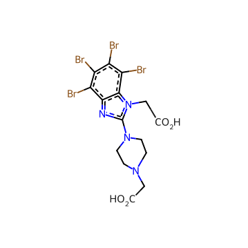 O=C(O)CN1CCN(c2nc3c(Br)c(Br)c(Br)c(Br)c3n2CC(=O)O)CC1